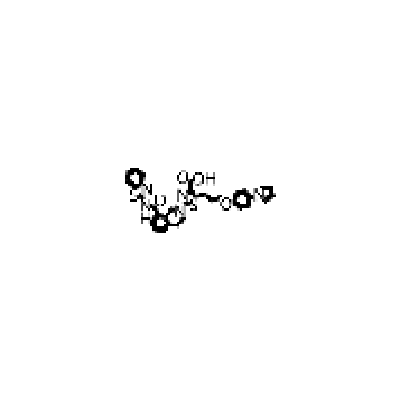 O=C(Nc1nc2ccccc2s1)c1cccc2c1CN(c1nc(C(=O)O)c(CCCOc3ccc(-n4cccc4)cc3)s1)CC2